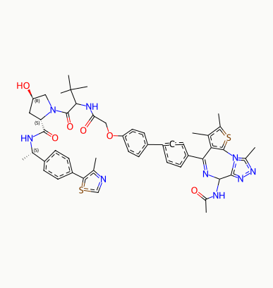 CC(=O)NC1N=C(c2ccc(-c3ccc(OCC(=O)NC(C(=O)N4C[C@H](O)C[C@H]4C(=O)N[C@@H](C)c4ccc(-c5scnc5C)cc4)C(C)(C)C)cc3)cc2)c2c(sc(C)c2C)-n2c(C)nnc21